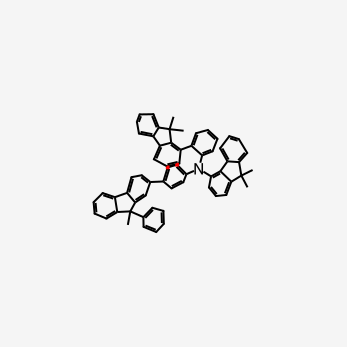 CC1(C)c2ccccc2-c2c(N(c3ccc(-c4ccc5c(c4)C(C)(c4ccccc4)c4ccccc4-5)cc3)c3ccccc3-c3cccc4c3C(C)(C)c3ccccc3-4)cccc21